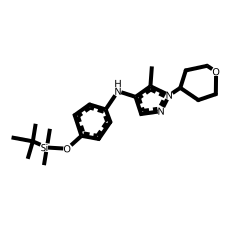 Cc1c(Nc2ccc(O[Si](C)(C)C(C)(C)C)cc2)cnn1C1CCOCC1